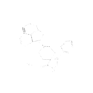 Cl.O=C1NCN(c2ccccc2)C12CCN([C@H]1Cc3cccc4cccc1c34)CC2